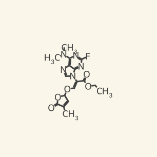 CCOC(=O)/C(=C/OC1C=C(C)C(=O)O1)n1cnc2c(N(C)C)nc(F)nc21